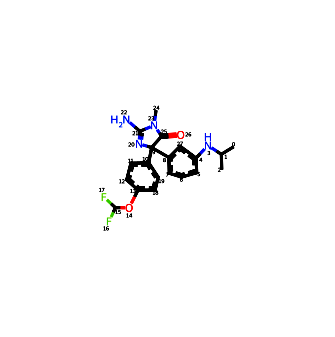 CC(C)Nc1cccc(C2(c3ccc(OC(F)F)cc3)N=C(N)N(C)C2=O)c1